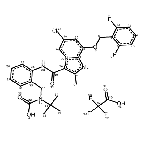 Cc1nc2c(OCc3c(F)cccc3F)cc(Cl)cn2c1C(=O)Nc1ccccc1CN(C(=O)O)C(C)(C)C.O=C(O)C(F)(F)F